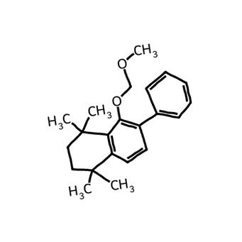 COCOc1c(-c2ccccc2)ccc2c1C(C)(C)CCC2(C)C